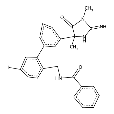 CN1C(=N)NC(C)(c2cccc(-c3cc(I)ccc3CNC(=O)c3ccccc3)c2)C1=O